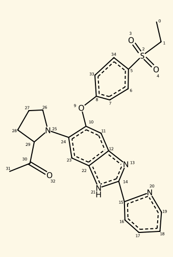 CCS(=O)(=O)c1ccc(Oc2cc3nc(-c4ccccn4)[nH]c3cc2N2CCCC2C(C)=O)cc1